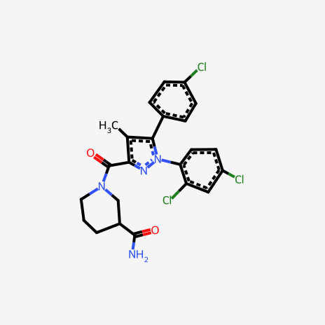 Cc1c(C(=O)N2CCCC(C(N)=O)C2)nn(-c2ccc(Cl)cc2Cl)c1-c1ccc(Cl)cc1